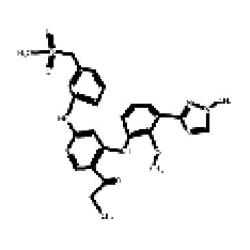 CCC(=O)c1cnc(Nc2cccc(CS(C)(=O)=O)n2)cc1Nc1cccc(-c2ncn(C)n2)c1OC